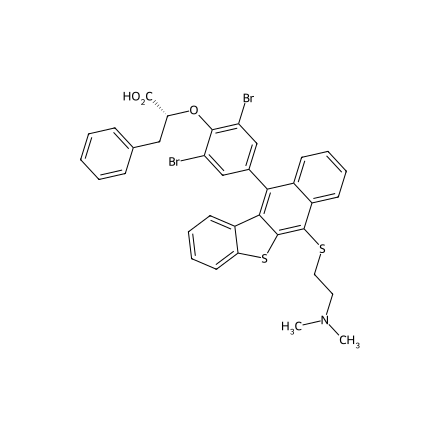 CN(C)CCSc1c2ccccc2c(-c2cc(Br)c(O[C@H](Cc3ccccc3)C(=O)O)c(Br)c2)c2c1sc1ccccc12